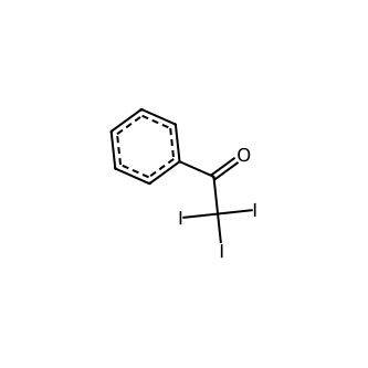 O=C(c1ccccc1)C(I)(I)I